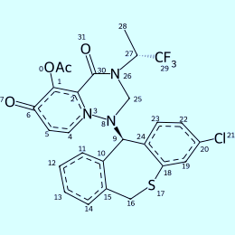 CC(=O)Oc1c2n(ccc1=O)N([C@@H]1c3ccccc3CSc3cc(Cl)ccc31)CN([C@H](C)C(F)(F)F)C2=O